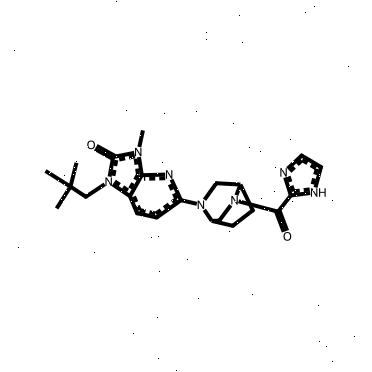 Cn1c(=O)n(CC(C)(C)C)c2ccc(N3CC4CCC3CN4C(=O)c3ncc[nH]3)nc21